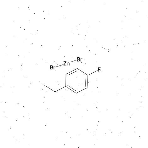 [Br][Zn][Br].[CH2]Cc1ccc(F)cc1